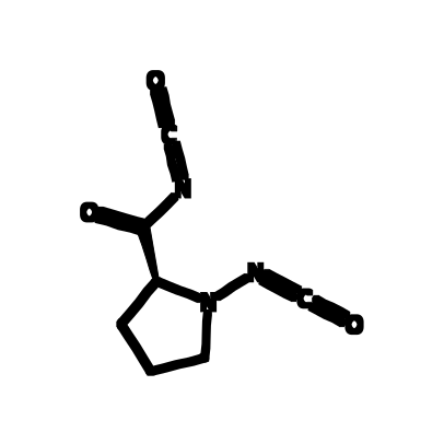 O=C=NC(=O)[C@@H]1CCCN1N=C=O